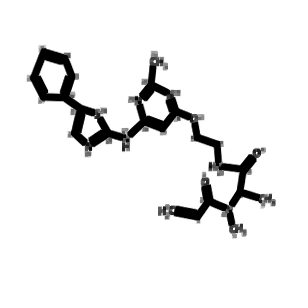 C=CC(=O)N(C)C(C)C(=O)NCCOc1cc(Nc2ncc(-c3ccccc3)s2)nc(C)n1